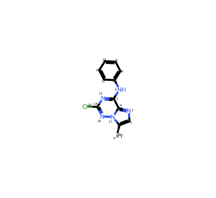 CC(C)c1cnc2c(Nc3ccccc3)nc(Cl)nn12